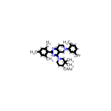 CO[C@@H]1CCN(c2nc(-c3c(C)cc(C)cc3C)nc3c2CN(c2cc(C(C)C)ccc2C)CC3)CC1(C)C